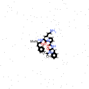 CN[C@@H](Cc1ccccc1)C(=O)N[C@@H](CCCCN)C(=O)N1CCC[C@H]1C(=O)N[C@@H](Cc1ccccc1)C(=O)N[C@@H](C)[C]=O